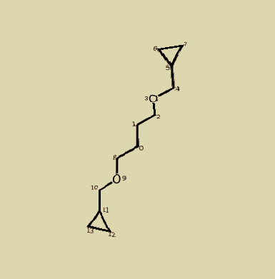 C(CCOCC1CC1)COCC1CC1